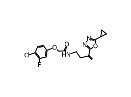 C=C(CCNC(=O)COc1ccc(Cl)c(F)c1)c1nnc(C2CC2)o1